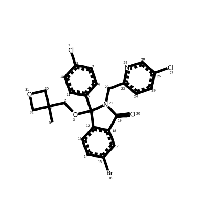 CC1(COC2(c3ccc(Cl)cc3)c3ccc(Br)cc3C(=O)N2Cc2ccc(Cl)cn2)COC1